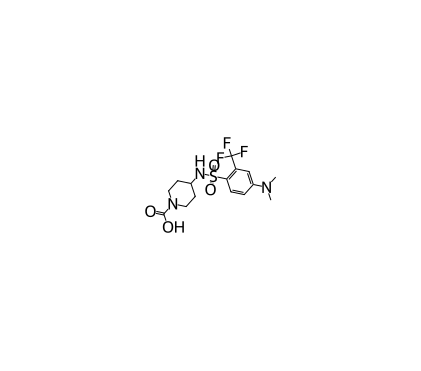 CN(C)c1ccc(S(=O)(=O)NC2CCN(C(=O)O)CC2)c(C(F)(F)F)c1